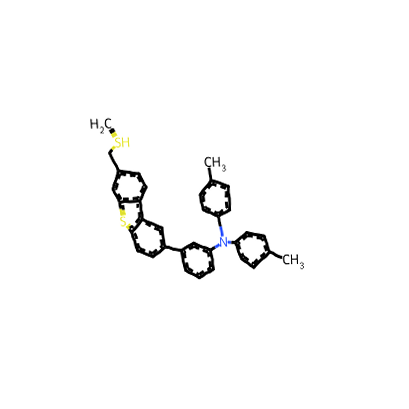 C=[SH]Cc1ccc2c(c1)sc1ccc(-c3cccc(N(c4ccc(C)cc4)c4ccc(C)cc4)c3)cc12